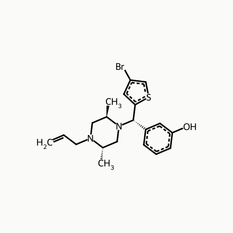 C=CCN1C[C@@H](C)N([C@@H](c2cccc(O)c2)c2cc(Br)cs2)C[C@@H]1C